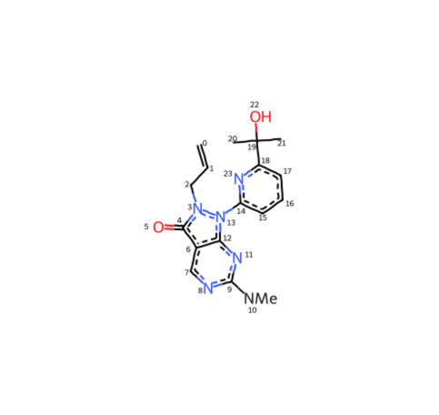 C=CCn1c(=O)c2cnc(NC)nc2n1-c1cccc(C(C)(C)O)n1